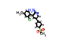 Cc1ccc(-c2cc(-c3ccc(S(C)(=O)=O)cc3)cnc2N)c(Cl)c1